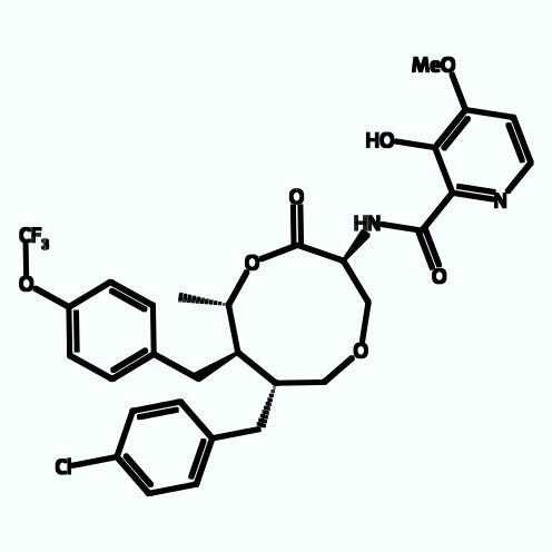 COc1ccnc(C(=O)N[C@H]2COC[C@H](Cc3ccc(Cl)cc3)[C@@H](Cc3ccc(OC(F)(F)F)cc3)[C@H](C)OC2=O)c1O